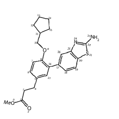 COC(=O)CCc1ccc(OCC2CCCC2)c(-c2ccc3sc(N)nc3c2)c1